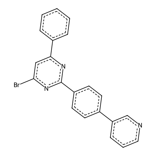 Brc1cc(-c2ccccc2)nc(-c2ccc(-c3cccnc3)cc2)n1